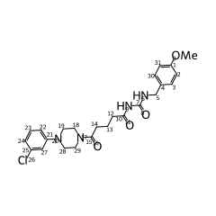 COc1ccc(CNC(=O)NC(=O)CCCC(=O)N2CCN(c3cccc(Cl)c3)CC2)cc1